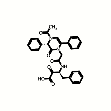 CC(=O)N1C=C(c2ccccc2)N(CC(=O)N[C@@H](Cc2ccccc2)C(=O)C(=O)O)C(=O)[C@@H]1c1ccccc1